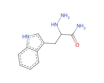 NNC(Cc1c[nH]c2ccccc12)C(N)=O